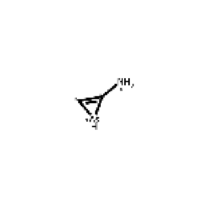 NC1=C[AsH]1